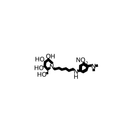 CN(C)Cc1ccc(NCCCCCCN2C[C@H](O)[C@@H](O)[C@H](O)[C@H]2CO)cc1[N+](=O)[O-]